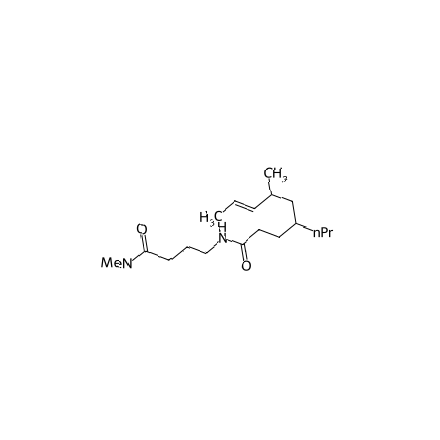 CC=CC(C)CC(CCC)CCC(=O)NCCCC(=O)NC